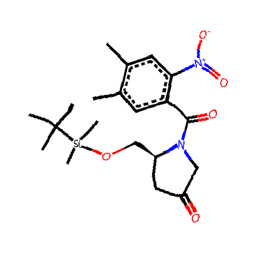 Cc1cc(C(=O)N2CC(=O)C[C@H]2CO[Si](C)(C)C(C)(C)C)c([N+](=O)[O-])cc1C